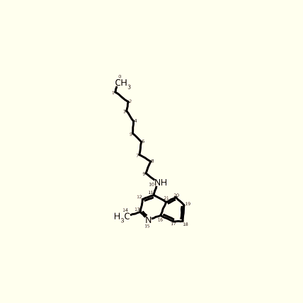 CCCCCCCCCCNc1cc(C)nc2ccccc12